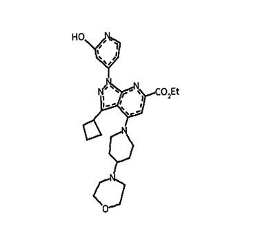 CCOC(=O)c1cc(N2CCC(N3CCOCC3)CC2)c2c(C3CCC3)nn(-c3ccnc(O)c3)c2n1